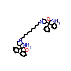 NC(=O)C(c1ccccc1)(c1ccccc1)C1CCN(CCCCCCCCCCCN2CCC(C(C(N)=O)(c3ccccc3)c3ccccc3)C2)C1